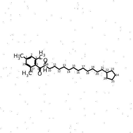 Cc1cc(C)c(C(=O)[PH](=O)CCCCCCCCCCCCC2CCCC2)c(C)c1